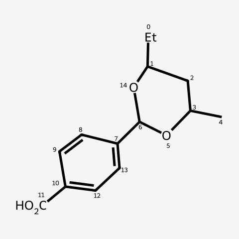 CCC1CC(C)OC(c2ccc(C(=O)O)cc2)O1